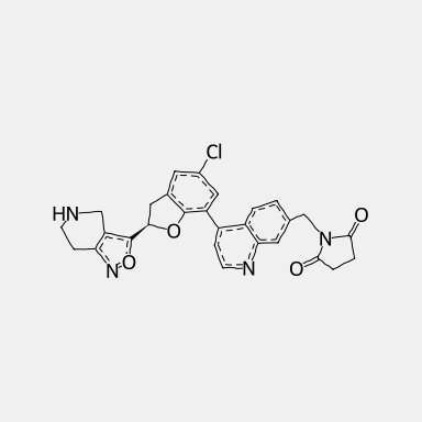 O=C1CCC(=O)N1Cc1ccc2c(-c3cc(Cl)cc4c3O[C@@H](c3onc5c3CNCC5)C4)ccnc2c1